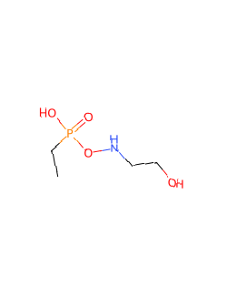 CCP(=O)(O)ONCCO